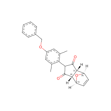 Cc1cc(OCc2ccccc2)cc(C)c1C1C(=O)[C@@H]2[C@H](C1=O)[C@H]1C=C[C@@H]2O1